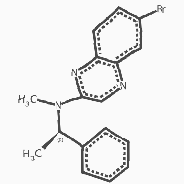 C[C@H](c1ccccc1)N(C)c1cnc2cc(Br)ccc2n1